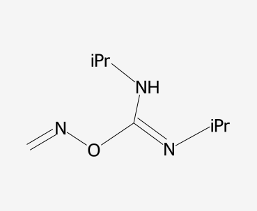 C=NO/C(=N/C(C)C)NC(C)C